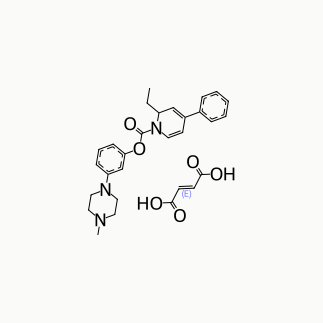 CCC1C=C(c2ccccc2)C=CN1C(=O)Oc1cccc(N2CCN(C)CC2)c1.O=C(O)/C=C/C(=O)O